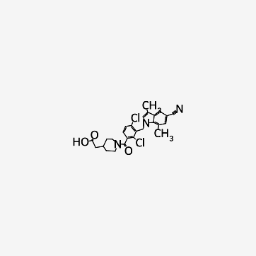 Cc1cn(Cc2c(Cl)ccc(C(=O)N3CCC(CC(=O)O)CC3)c2Cl)c2c(C)cc(C#N)cc12